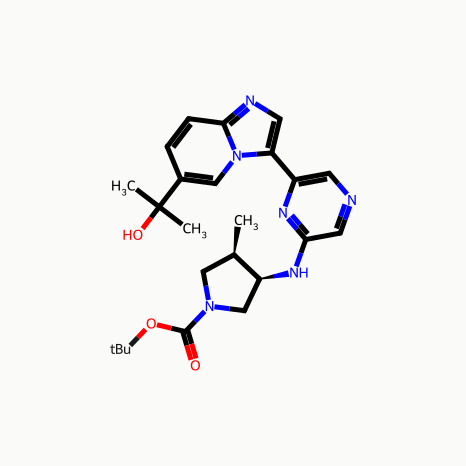 C[C@@H]1CN(C(=O)OC(C)(C)C)C[C@@H]1Nc1cncc(-c2cnc3ccc(C(C)(C)O)cn23)n1